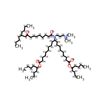 CCCCC(CCCC)CC(=O)CCCCCCCC(=O)N(CCCN(C)C)C(CCCCCCCCC(=O)OC(CCCC)CCCC)CCCCCCCCC(=O)OC(CCCC)CCCC